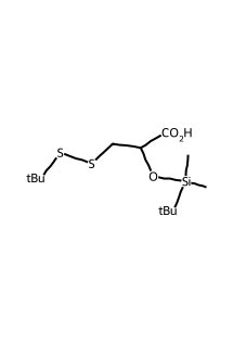 CC(C)(C)SSCC(O[Si](C)(C)C(C)(C)C)C(=O)O